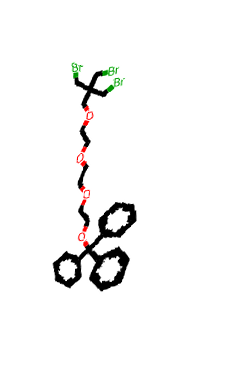 BrCC(CBr)(CBr)COCCOCCOCCOC(c1ccccc1)(c1ccccc1)c1ccccc1